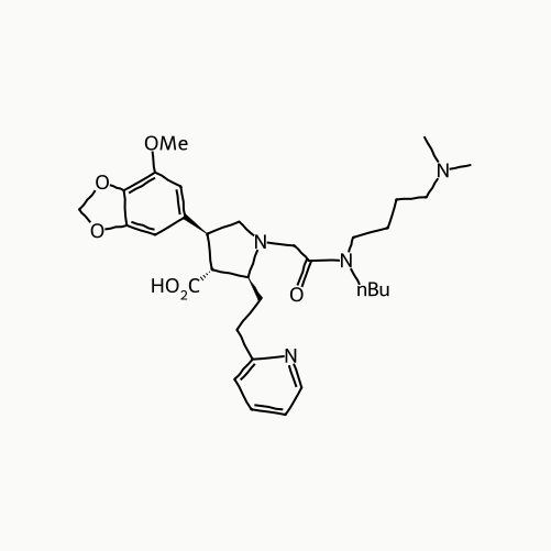 CCCCN(CCCCN(C)C)C(=O)CN1C[C@H](c2cc(OC)c3c(c2)OCO3)[C@@H](C(=O)O)[C@@H]1CCc1ccccn1